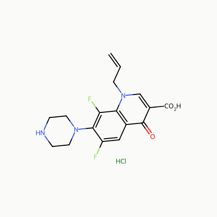 C=CCn1cc(C(=O)O)c(=O)c2cc(F)c(N3CCNCC3)c(F)c21.Cl